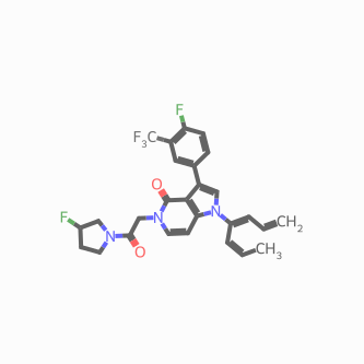 C=C/C=C(\C=C/C)n1cc(-c2ccc(F)c(C(F)(F)F)c2)c2c(=O)n(CC(=O)N3CCC(F)C3)ccc21